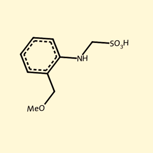 COCc1ccccc1NCS(=O)(=O)O